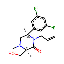 C=CCN1C(=O)[C@@](C)(CO)N(C)C[C@@]1(C)c1cc(F)cc(F)c1